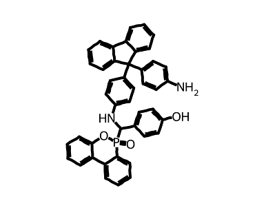 Nc1ccc(C2(c3ccc(NC(c4ccc(O)cc4)P4(=O)Oc5ccccc5-c5ccccc54)cc3)c3ccccc3-c3ccccc32)cc1